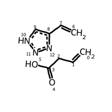 C=CCC(=O)O.C=Cc1c[nH]nn1